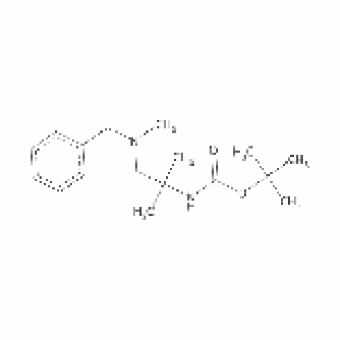 CN(Cc1ccccc1)CC(C)(C)NC(=O)OC(C)(C)C